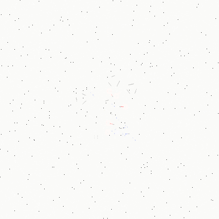 CO/N=C(\C(=O)NC1C(=O)N2C(C(=O)OC(c3ccccc3)c3ccccc3)=C(Sc3nc4ccccc4s3)CS[C@H]12)c1nsc(N)n1